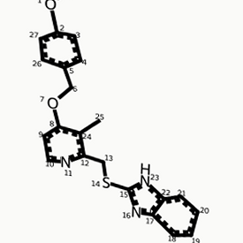 COc1ccc(COc2ccnc(CSc3nc4ccccc4[nH]3)c2C)cc1